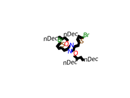 CCCCCCCCCCCCC(CCCCCCCCCC)COc1nc(=Cc2ccc(Br)s2)c(OCC(CCCCCCCCCC)CCCCCCCCCCCC)nc1=Cc1ccc(Br)s1